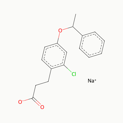 CC(Oc1ccc(CCC(=O)[O-])c(Cl)c1)c1ccccc1.[Na+]